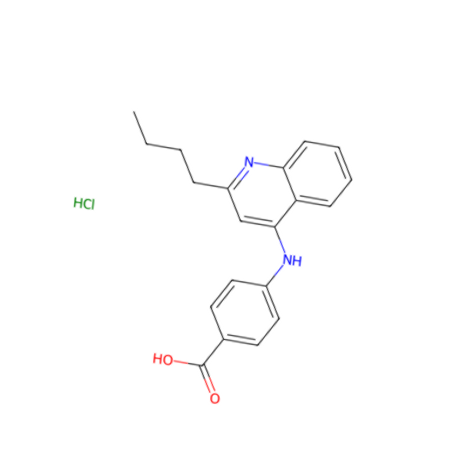 CCCCc1cc(Nc2ccc(C(=O)O)cc2)c2ccccc2n1.Cl